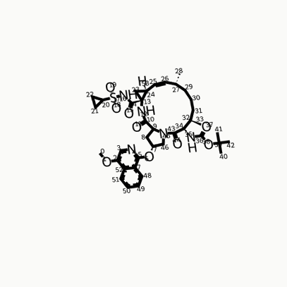 COc1cnc(O[C@@H]2CC3C(=O)N[C@]4(C(=O)NS(=O)(=O)C5CC5)C[C@H]4/C=C\[C@H](C)CCC[C@@H](C)[C@H](NC(=O)OC(C)(C)C)C(=O)N3C2)c2ccccc12